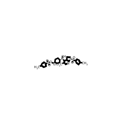 CCOC(=O)c1cnc2c(ccn2S(=O)(=O)c2ccc(C)cc2)c1N(C)[C@H]1CC[C@H](COS(=O)(=O)c2ccc(C)cc2)CC1